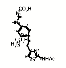 CC(=O)Nc1nc(CCc2ccc(NC=NC(=O)O)cc2)cs1.NC(=O)O